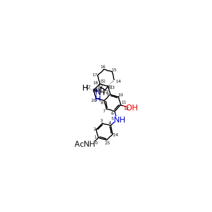 CC(=O)Nc1ccc(Nc2cc3c(cc2O)[C@]24CCCC[C@@H]2[C@H](C3)NCC4)cc1